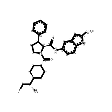 N[C@H](CF)[C@H]1CC[C@H](C(=O)N2CC[C@@H](c3ccccc3)[C@H]2C(=O)Nc2ccc3[nH]c(C(=O)O)cc3c2)CC1